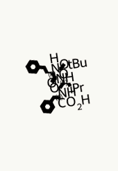 CC(C)C[C@H](NC(=O)[C@@H](CCc1ccccc1)NC(=O)OC(C)(C)C)C(=O)N[C@@H](Cc1ccccc1)C(=O)O